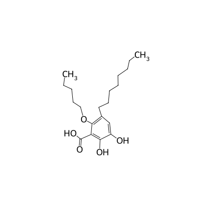 CCCCCCCCc1cc(O)c(O)c(C(=O)O)c1OCCCCC